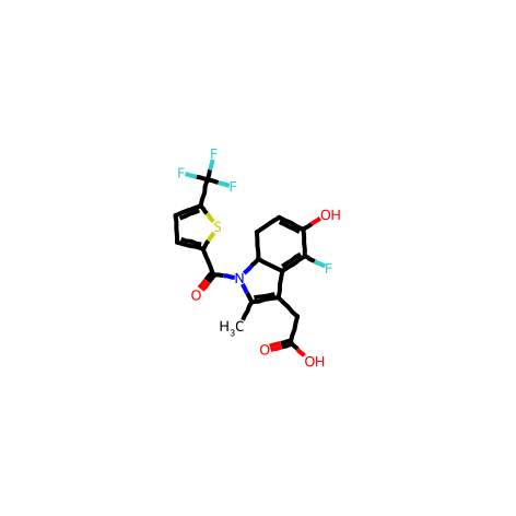 CC1=C(CC(=O)O)C2=C(F)C(O)=CCC2N1C(=O)c1ccc(C(F)(F)F)s1